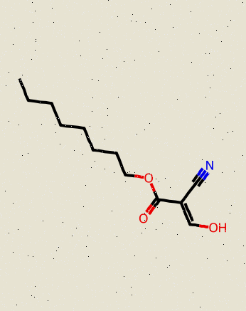 CCCCCCCCOC(=O)/C(C#N)=C/O